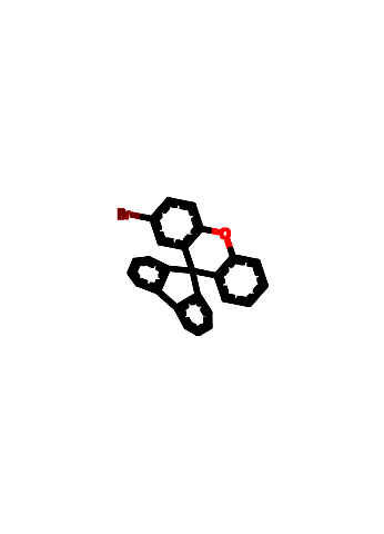 Brc1ccc2c(c1)C1(c3ccccc3O2)c2ccccc2-c2ccccc21